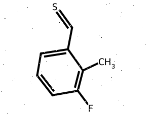 Cc1c(F)cccc1C=S